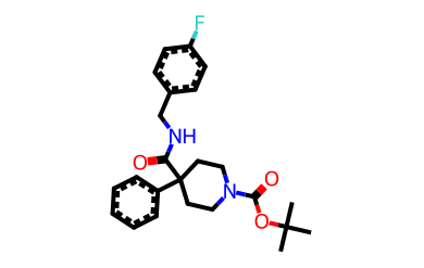 CC(C)(C)OC(=O)N1CCC(C(=O)NCc2ccc(F)cc2)(c2ccccc2)CC1